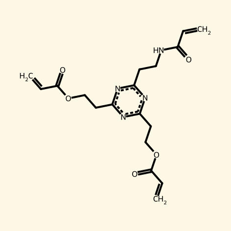 C=CC(=O)NCCc1nc(CCOC(=O)C=C)nc(CCOC(=O)C=C)n1